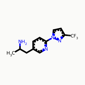 CC(N)Cc1ccc(-n2ccc(C(F)(F)F)n2)nc1